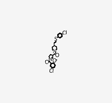 COc1ccc(Cl)cc1C(=O)N1CCC(C(=O)N2CCC(/C=C/Sc3ccc(Cl)cc3)CC2)C1